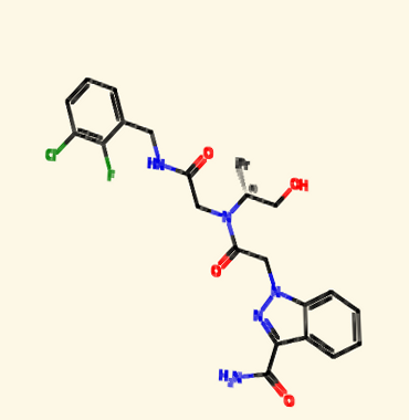 CC(C)[C@H](CO)N(CC(=O)NCc1cccc(Cl)c1F)C(=O)Cn1nc(C(N)=O)c2ccccc21